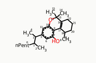 CCCCCC(C)C(C)c1cc(O)c2c(c1)OC(C)(C)C1=C2C(C)CCC1